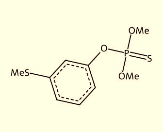 COP(=S)(OC)Oc1cccc(SC)c1